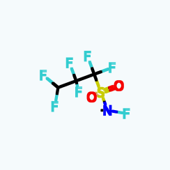 O=S(=O)([N]F)C(F)(F)C(F)(F)C(F)F